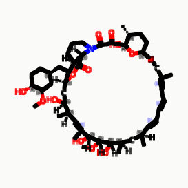 CO[C@H]1[C@@H](O)[C@H](C)C[C@H](C)/C=C/C=C/C=C(\C)CC[C@@H]2CC[C@@H](C)[C@@](O)(O2)C(=O)C(=O)N2CCC[C@@H]3C(C[C@@H]4CC[C@@H](O)[C@H](OC)C4)[C@H](C[C@H](O)[C@H](C)/C=C(\C)[C@H]1O)OC(=O)[C@H]32